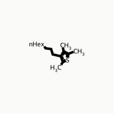 CCCCCCCCCc1c(C)sc(C)c1C